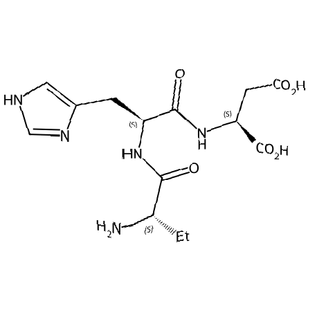 CC[C@H](N)C(=O)N[C@@H](Cc1c[nH]cn1)C(=O)N[C@@H](CC(=O)O)C(=O)O